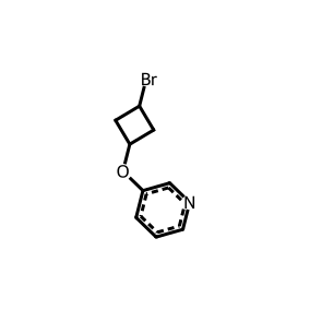 BrC1CC(Oc2cccnc2)C1